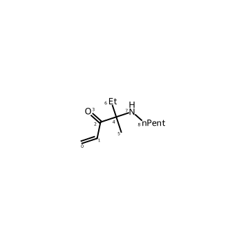 C=CC(=O)C(C)(CC)NCCCCC